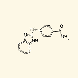 NC(=O)c1ccc(Nc2nc3ccccc3[nH]2)cc1